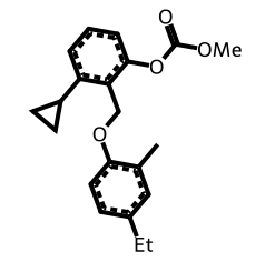 CCc1ccc(OCc2c(OC(=O)OC)cccc2C2CC2)c(C)c1